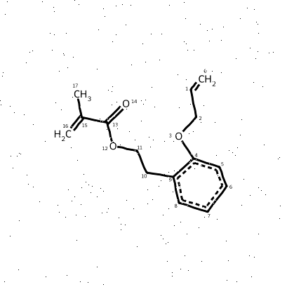 C=CCOc1ccccc1CCOC(=O)C(=C)C